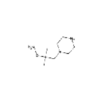 CC(C)(CN1CCNCC1)O[SiH3]